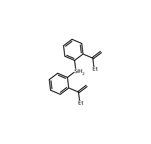 C=C(CC)c1ccccc1[SiH2]c1ccccc1C(=C)CC